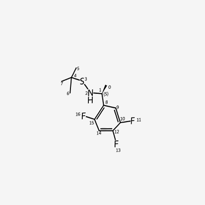 C[C@H](NSC(C)(C)C)c1cc(F)c(F)cc1F